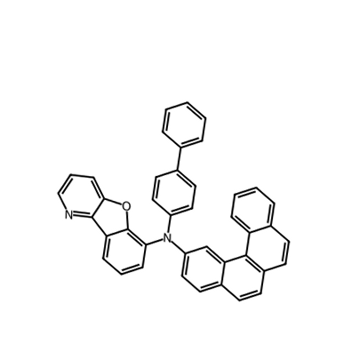 c1ccc(-c2ccc(N(c3ccc4ccc5ccc6ccccc6c5c4c3)c3cccc4c3oc3cccnc34)cc2)cc1